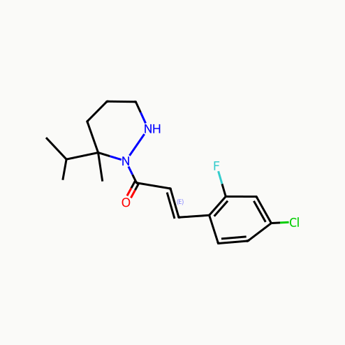 CC(C)C1(C)CCCNN1C(=O)/C=C/c1ccc(Cl)cc1F